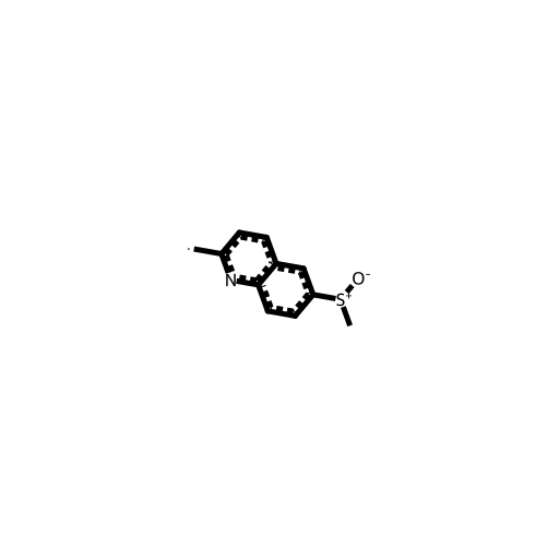 [CH2]c1ccc2cc([S+](C)[O-])ccc2n1